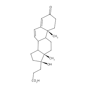 C[C@]12CCC(=O)C=C1C=CC1C2CC[C@@]2(C)C1CC[C@@]2(O)CCC(=O)O